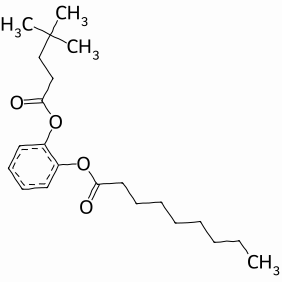 CCCCCCCCC(=O)Oc1ccccc1OC(=O)CCC(C)(C)C